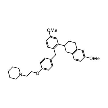 COc1ccc2c(c1)CCC(c1cc(OC)ccc1Cc1ccc(OCCN3CCCCC3)cc1)C2